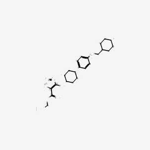 CCOC(=O)c1[nH]nnc1O[C@H]1CC[C@H](c2ccc(OCC3CCCCC3)cc2)CC1